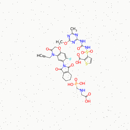 C#CCN1C(=O)COc2cc(F)c(N3C(=O)C4=C(CCCC4)C3=O)cc21.COc1nc(C)nc(NC(=O)NS(=O)(=O)c2ccsc2C(=O)O)n1.O=C(O)CNCP(=O)(O)O